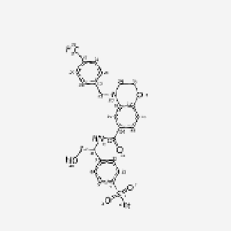 CCS(=O)(=O)c1ccc(C(CO)NC(=O)c2ccc3c(c2)N(Cc2ccc(C(F)(F)F)cc2)CCO3)cc1